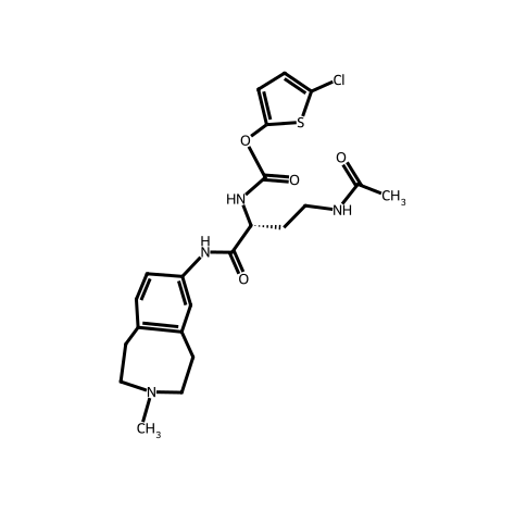 CC(=O)NCC[C@@H](NC(=O)Oc1ccc(Cl)s1)C(=O)Nc1ccc2c(c1)CCN(C)CC2